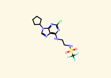 O=S(=O)(NCCNc1nc(Cl)nc2c1ncn2C1CCCC1)C(F)(F)F